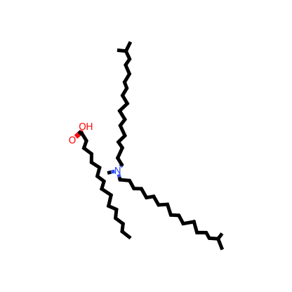 CC(C)CCCCCCCCCCCCCCCN(C)CCCCCCCCCCCCCCCC(C)C.CCCCCCCCCCCCCCCC(=O)O